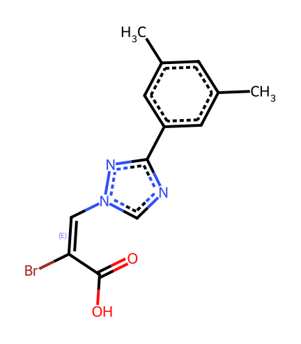 Cc1cc(C)cc(-c2ncn(/C=C(/Br)C(=O)O)n2)c1